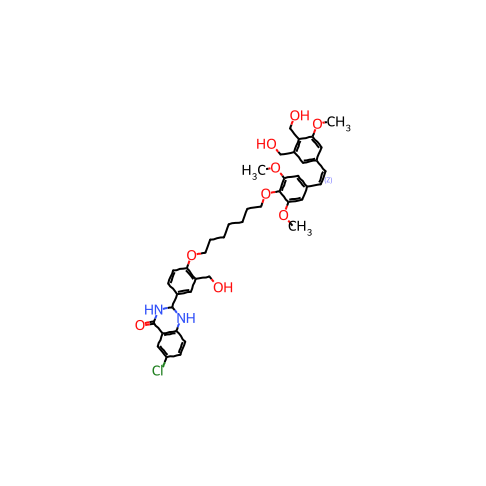 COc1cc(/C=C\c2cc(OC)c(OCCCCCCCOc3ccc(C4NC(=O)c5cc(Cl)ccc5N4)cc3CO)c(OC)c2)cc(CO)c1CO